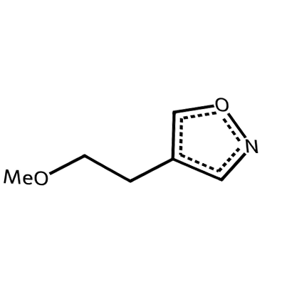 COCCc1cnoc1